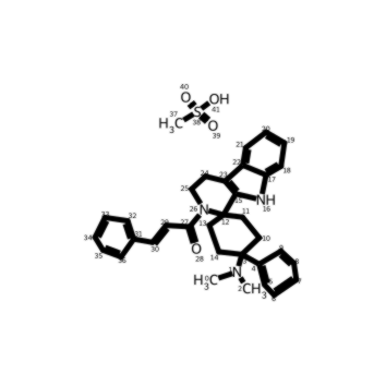 CN(C)C1(c2ccccc2)CCC2(CC1)c1[nH]c3ccccc3c1CCN2C(=O)/C=C/c1ccccc1.CS(=O)(=O)O